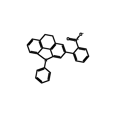 O=[N+]([O-])c1ccccc1-c1cc2c3c4c(cccc4n(-c4ccccc4)c3c1)CC2